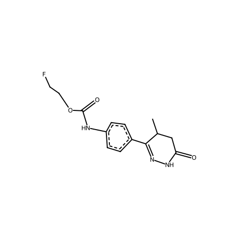 CC1CC(=O)NN=C1c1ccc(NC(=O)OCCF)cc1